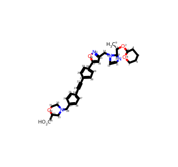 C[C@H](OC1CCCCO1)c1nccn1Cc1cc(-c2ccc(C#Cc3ccc(CN4CCOC(C(=O)O)C4)cc3)cc2)on1